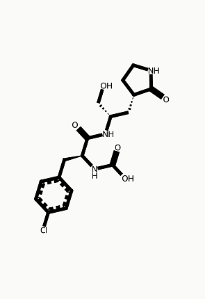 O=C(O)N[C@@H](Cc1ccc(Cl)cc1)C(=O)N[C@H](CO)C[C@@H]1CCNC1=O